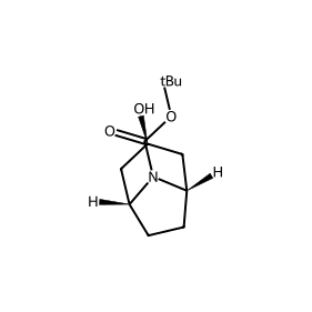 CC(C)(C)OC(=O)N1[C@@H]2CC[C@H]1C[C@H](O)C2